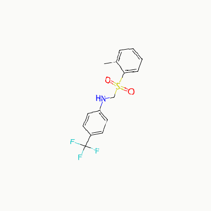 Cc1ccccc1S(=O)(=O)CNc1ccc(C(F)(F)F)cc1